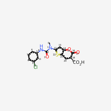 CN(C(=O)Nc1cccc(Cl)c1)c1cc2oc(=O)c(C(=O)O)cc2s1